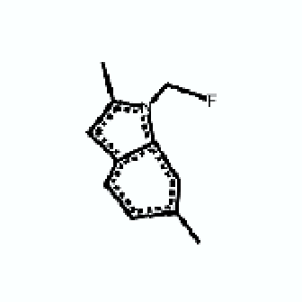 Cc1ccc2cc(C)n(CF)c2c1